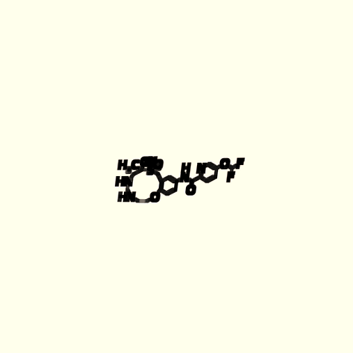 CC1(C)CNCNCCOc2ccc(NC(=O)c3ccc(OC(F)F)cn3)cc2CS1(=O)=O